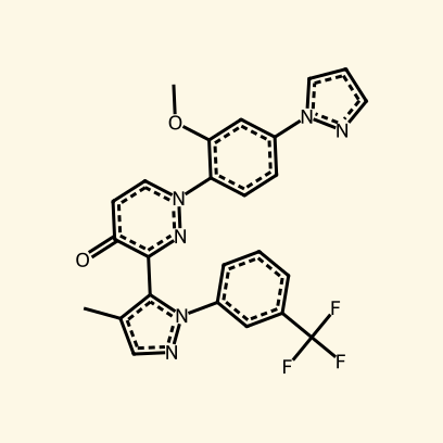 COc1cc(-n2cccn2)ccc1-n1ccc(=O)c(-c2c(C)cnn2-c2cccc(C(F)(F)F)c2)n1